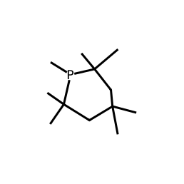 CP1C(C)(C)CC(C)(C)CC1(C)C